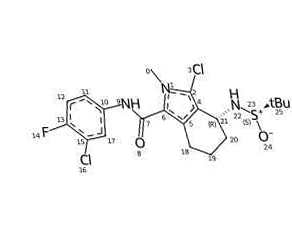 Cn1c(Cl)c2c(c1C(=O)Nc1ccc(F)c(Cl)c1)CCC[C@H]2N[S@+]([O-])C(C)(C)C